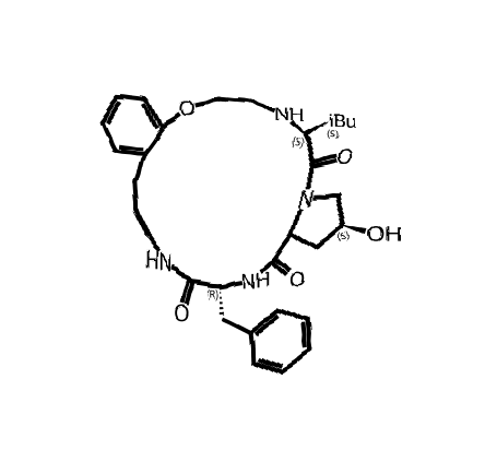 CC[C@H](C)[C@@H]1NCCOc2ccccc2CCCNC(=O)[C@@H](Cc2ccccc2)NC(=O)C2C[C@H](O)CN2C1=O